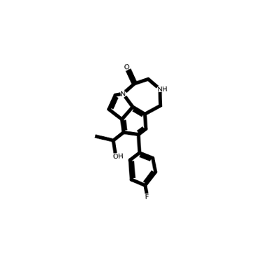 CC(O)c1c(-c2ccc(F)cc2)cc2c3c1ccn3C(=O)CNC2